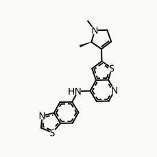 C[C@@H]1C(c2cc3c(Nc4ccc5scnc5c4)ccnc3s2)=CCN1C